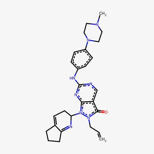 C=CCn1c(=O)c2cnc(Nc3ccc(N4CCN(C)CC4)cc3)nc2n1C1CC=C2CCCC2=N1